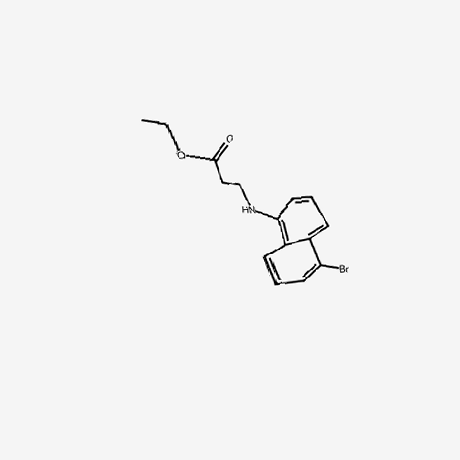 CCOC(=O)CCNc1cccc2c(Br)cccc12